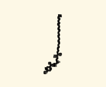 CCC=CCC=CCC=CCC=CCC=CCC=CCCC(=O)NCCN(C)CCNC(=O)c1ccc(Cl)nc1